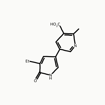 CCc1cc(-c2cnc(C)c(C(=O)O)c2)c[nH]c1=O